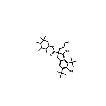 CCCCC(Cc1cc(C(C)(C)C)c(O)c(C(C)(C)C)c1)(C(=O)O)C(=O)OC1CC(C)(C)N(C)C(C)C1C